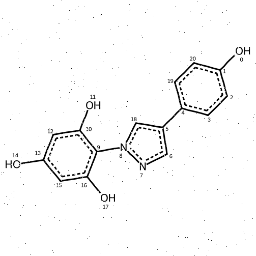 Oc1ccc(-c2cnn(-c3c(O)cc(O)cc3O)c2)cc1